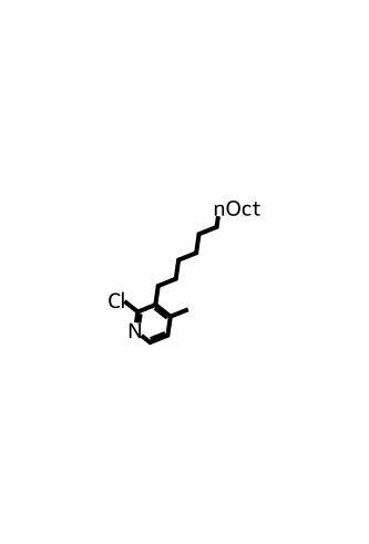 CCCCCCCCCCCCCCc1c(C)ccnc1Cl